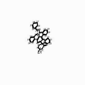 C=C1CC(CC)CCC12c1ccccc1-c1c(-c3ccccc3C(=N/Cc3ccccc3)/N=C/c3ccccc3)cccc12